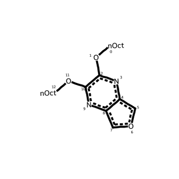 CCCCCCCCOc1nc2cocc2nc1OCCCCCCCC